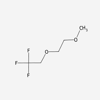 COCCOCC(F)(F)F